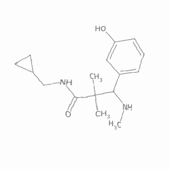 CNC(c1cccc(O)c1)C(C)(C)C(=O)NCC1CC1